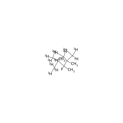 [2H]C([2H])([2H])C(C)(C([2H])([2H])[2H])C(C)(F)C(C)(C([2H])([2H])[2H])C([2H])([2H])[2H]